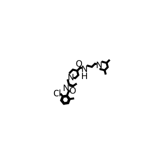 Cc1cccc(Cl)c1-c1nc(CN2CCC(C(=O)NCCCN3CC(C)CC(C)C3)CC2)c(C)o1